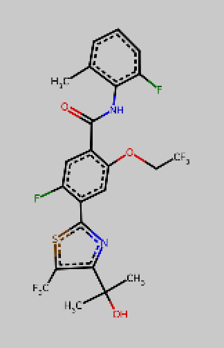 Cc1cccc(F)c1NC(=O)c1cc(F)c(-c2nc(C(C)(C)O)c(C(F)(F)F)s2)cc1OCC(F)(F)F